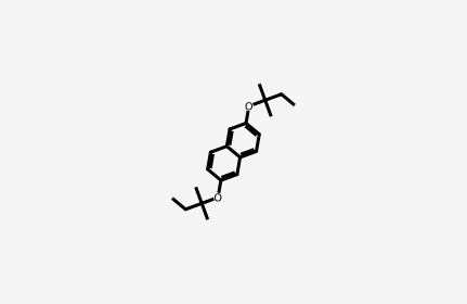 CCC(C)(C)Oc1ccc2cc(OC(C)(C)CC)ccc2c1